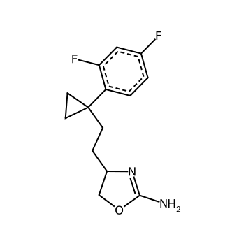 NC1=NC(CCC2(c3ccc(F)cc3F)CC2)CO1